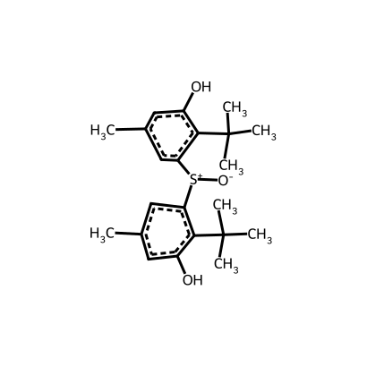 Cc1cc(O)c(C(C)(C)C)c([S+]([O-])c2cc(C)cc(O)c2C(C)(C)C)c1